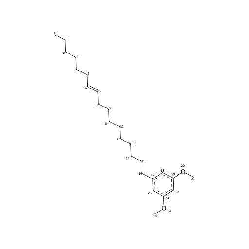 CCCCCCC=CCCCCCCCCCc1cc(OC)cc(OC)c1